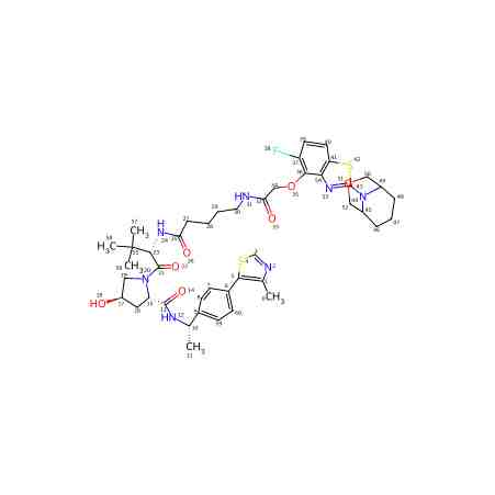 Cc1ncsc1-c1ccc([C@H](C)NC(=O)[C@@H]2C[C@@H](O)CN2C(=O)[C@@H](NC(=O)CCCCNC(=O)COc2c(F)ccc3sc(N4C5CCCC4COC5)nc23)C(C)(C)C)cc1